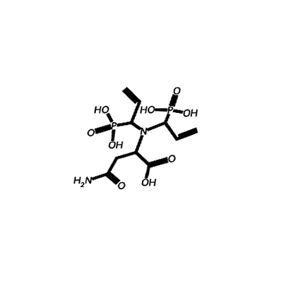 C=CC(N(C(CC(N)=O)C(=O)O)C(C=C)P(=O)(O)O)P(=O)(O)O